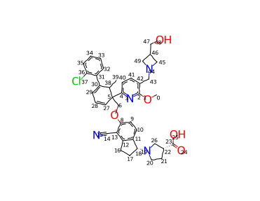 COc1nc(C2(COc3ccc4c(c3C#N)CC[C@H]4N3CC[C@@H](C(=O)O)C3)C=CC=C(c3ccccc3Cl)C2C)ccc1CN1CC(CO)C1